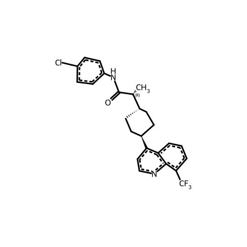 C[C@@H](C(=O)Nc1ccc(Cl)cc1)[C@H]1CC[C@H](c2ccnc3c(C(F)(F)F)cccc32)CC1